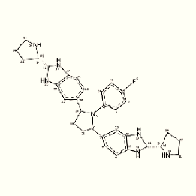 Fc1ccc(N2C(c3ccc4c(c3)NC([C@@H]3CCCN3)N4)CCC2c2ccc3c(c2)NC([C@@H]2CCCN2)N3)cc1